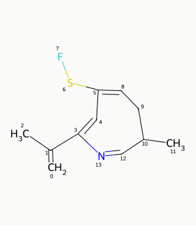 C=C(C)C1=C\C(SF)=C/CC(C)/C=N\1